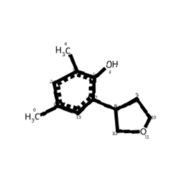 Cc1cc(C)c(O)c(C2CCOC2)c1